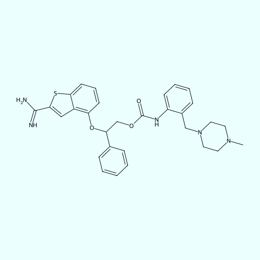 CN1CCN(Cc2ccccc2NC(=O)OCC(Oc2cccc3sc(C(=N)N)cc23)c2ccccc2)CC1